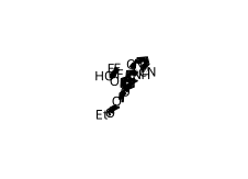 CCOCCOCCOc1ccc2c(c1)CN[C@H](C(=O)N1CCC[C@H]1C#N)C2.O=C(O)C(F)(F)F